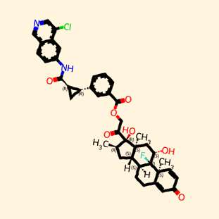 C[C@@H]1C[C@H]2[C@@H]3CCC4=CC(=O)C=C[C@]4(C)[C@@]3(F)[C@@H](O)C[C@]2(C)[C@@]1(O)C(=O)COC(=O)c1cccc([C@@H]2C[C@H]2C(=O)Nc2ccc3cncc(Cl)c3c2)c1